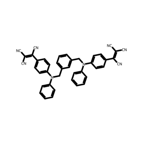 N#CC(C#N)=C(C#N)c1ccc(N(Cc2cccc(CN(c3ccccc3)c3ccc(C(C#N)=C(C#N)C#N)cc3)c2)c2ccccc2)cc1